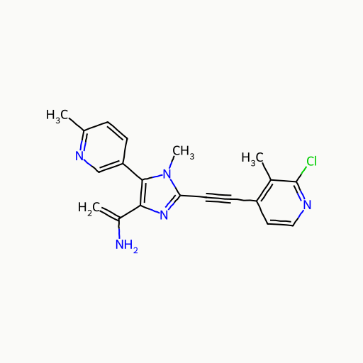 C=C(N)c1nc(C#Cc2ccnc(Cl)c2C)n(C)c1-c1ccc(C)nc1